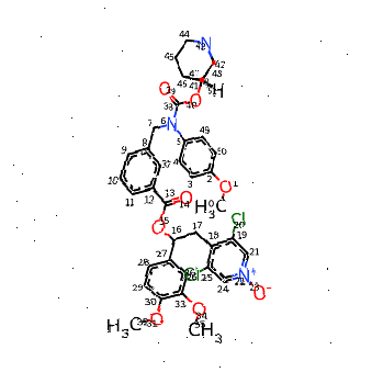 COc1ccc(N(Cc2cccc(C(=O)OC(Cc3c(Cl)c[n+]([O-])cc3Cl)c3ccc(OC)c(OC)c3)c2)C(=O)O[C@H]2CN3CCC2CC3)cc1